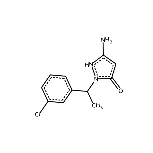 CC(c1cccc(Cl)c1)n1[nH]c(N)cc1=O